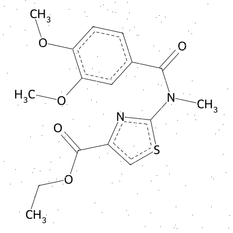 CCOC(=O)c1csc(N(C)C(=O)c2ccc(OC)c(OC)c2)n1